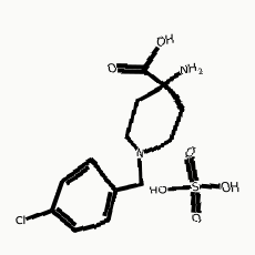 NC1(C(=O)O)CCN(Cc2ccc(Cl)cc2)CC1.O=S(=O)(O)O